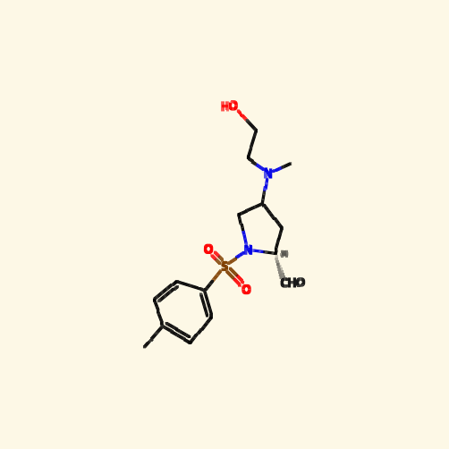 Cc1ccc(S(=O)(=O)N2CC(N(C)CCO)C[C@@H]2C=O)cc1